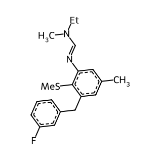 CCN(C)C=Nc1cc(C)cc(Cc2cccc(F)c2)c1SC